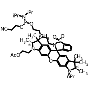 CCCN1c2cc3c(cc2C(C)(C)[C@H]1C)C1(c2cc4c(cc2O3)N(CCOC(C)=O)[C@H](C)C4(C)C)c2ccccc2S(=O)(=O)N1CCOCCOP(OCCC#N)N(C(C)C)C(C)C